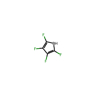 FC1=C(F)C(F)=C(F)B1